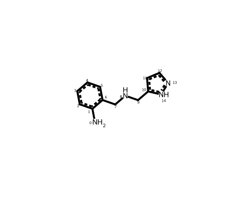 Nc1ccccc1CNCc1ccn[nH]1